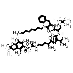 CCCCCCCCNC(=O)C(Cc1ccccc1)NC(=O)C(COC(C)(C)C)NC(=O)C(NC(=O)C(N)CCCNC(=N)NS(=O)(=O)c1c(C)c(C)c2c(c1C)CC(C)(C)O2)C(C)C